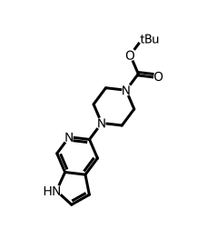 CC(C)(C)OC(=O)N1CCN(c2cc3cc[nH]c3cn2)CC1